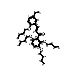 CCCCOc1ccc(CC)cc1/C=C/C(=O)c1c(OCCCC)ccc(OCCCC)c1OCCCC